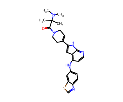 CN(C)C(C)(C)C(=O)N1CC=C(c2cc3c(Nc4ccc5ncsc5c4)ccnc3[nH]2)CC1